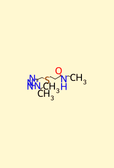 CCNC(=O)CCSCc1nnnn1C(C)C